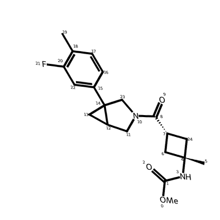 COC(=O)N[C@]1(C)C[C@H](C(=O)N2CC3CC3(c3ccc(C)c(F)c3)C2)C1